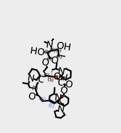 CC(CC1=C\[C@H](CN2CCCC2)COC(=O)C[C@@H](O)[C@@H](CC(C)N2CCCCC2)[C@H](CCO[C@@H]2O[C@H](C)[C@@H](O)[C@H](N(C)C)[C@H]2O)CC[C@H](CC(C)N2CCCCC2)C(=O)\C=C\1)N1CCCCC1